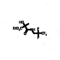 CCOC(=O)C(C)(O)C(=O)NCC(F)(F)C(F)(F)F